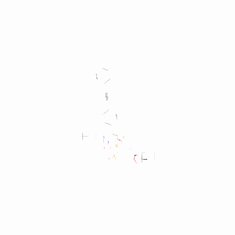 CN(OS(=O)(=O)CC12CCC(CC1=O)C2(C)C)C(=O)c1ccc(C#Cc2ccccc2)cc1